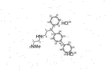 CNCCNCCC(c1ccccc1)c1ccc(-c2ccccc2)cc1.Cl.Cl